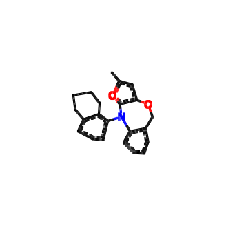 Cc1cc2c(o1)N(c1cccc3c1CCCC3)c1ccccc1CO2